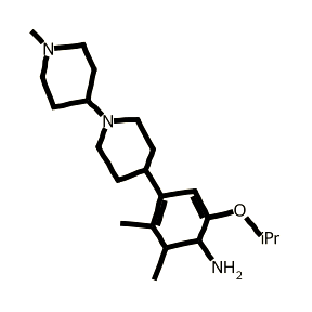 CC1=C(C2CCN(C3CCN(C)CC3)CC2)C=C(OC(C)C)C(N)C1C